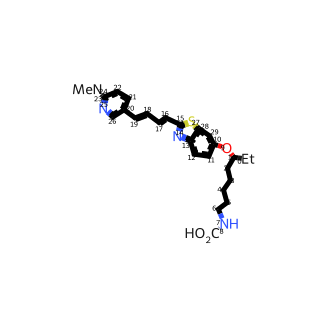 CCC(CCCCCNC(=O)O)Oc1ccc2nc(/C=C/C=C/c3ccc(NC)nc3)sc2c1